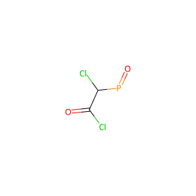 O=PC(Cl)C(=O)Cl